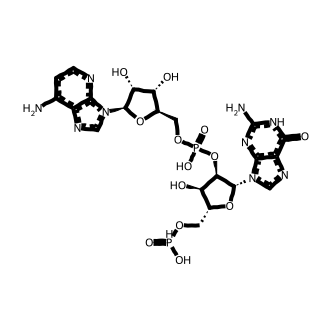 Nc1nc2c(ncn2[C@@H]2O[C@H](CO[PH](=O)O)[C@@H](O)[C@H]2OP(=O)(O)OC[C@H]2O[C@@H](n3cnc4c(N)ccnc43)[C@H](O)[C@@H]2O)c(=O)[nH]1